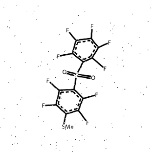 CSc1c(F)c(F)c(S(=O)(=O)c2c(F)c(F)c(F)c(F)c2F)c(F)c1F